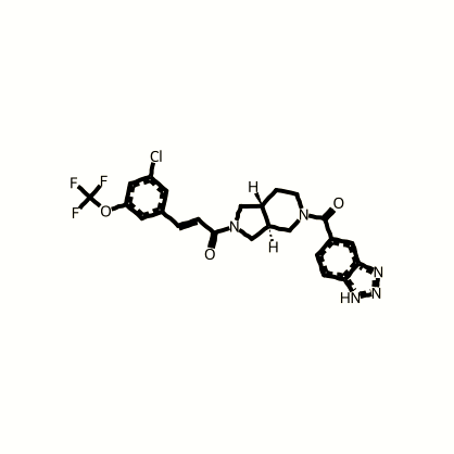 O=C(C=Cc1cc(Cl)cc(OC(F)(F)F)c1)N1C[C@@H]2CN(C(=O)c3ccc4[nH]nnc4c3)CC[C@H]2C1